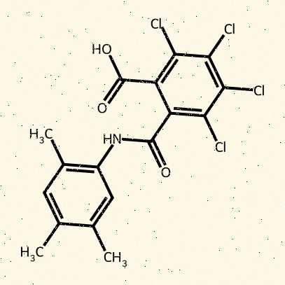 Cc1cc(C)c(NC(=O)c2c(Cl)c(Cl)c(Cl)c(Cl)c2C(=O)O)cc1C